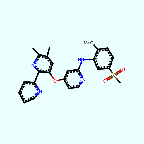 COc1ccc(S(C)(=O)=O)cc1Nc1cc(Oc2cc(C)c(C)nc2-c2ccccn2)ccn1